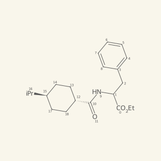 CCOC(=O)C(Cc1ccccc1)NC(=O)[C@H]1CC[C@H](C(C)C)CC1